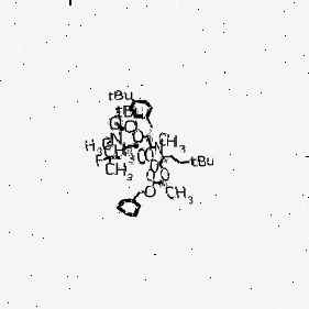 C[C@@H](OC(=O)[C@H](CCC(C)(C)C)N(C)C(=O)[C@@H](Cc1ccc(C(C)(C)C)cc1)OC(=O)[C@H](CC(C)(C)F)N(C)C(=O)OC(C)(C)C)C(=O)OCc1ccccc1